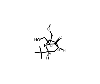 COC[C@@]1(CO)C(=O)[C@@H]2CCN1[C@@H](C(C)(C)C)C2